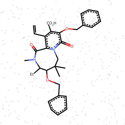 C=Cc1c(C(=O)O)c(OCc2ccccc2)c(=O)n2c1C(=O)N(C)C(CC)C(OCc1ccccc1)C(C)(C)C2